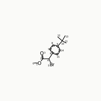 COC(=O)C(Br)c1ccc(C(C)(C)C)cc1